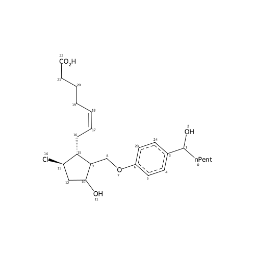 CCCCCC(O)c1ccc(OCC2C(O)C[C@@H](Cl)[C@@H]2C/C=C\CCCC(=O)O)cc1